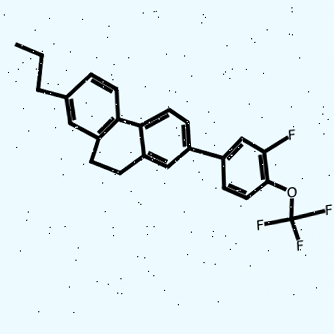 CCCc1ccc2c(c1)CCc1cc(-c3ccc(OC(F)(F)F)c(F)c3)ccc1-2